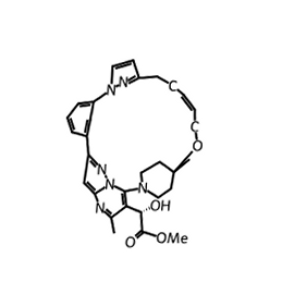 COC(=O)[C@@H](O)c1c(C)nc2cc3nn2c1N1CCC(C)(CC1)OC/C=C\CCc1ccn(n1)-c1cccc-3c1